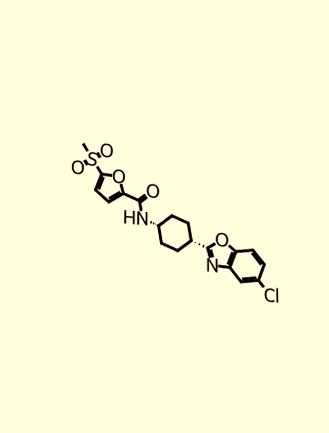 CS(=O)(=O)c1ccc(C(=O)N[C@H]2CC[C@@H](c3nc4cc(Cl)ccc4o3)CC2)o1